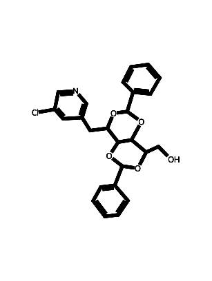 OCC1OC(c2ccccc2)OC2C(Cc3cncc(Cl)c3)OC(c3ccccc3)OC12